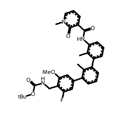 COc1cc(-c2cccc(-c3cccc(NC(=O)c4cccn(C)c4=O)c3C)c2C)cc(F)c1CNC(=O)OC(C)(C)C